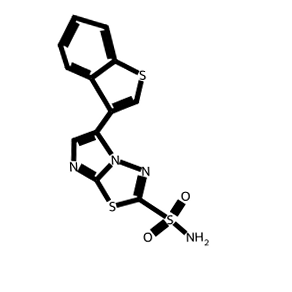 NS(=O)(=O)c1nn2c(-c3csc4ccccc34)cnc2s1